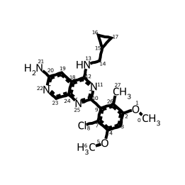 COc1cc(OC)c(Cl)c(-c2nc(NCC3CC3)c3cc(N)ncc3n2)c1C